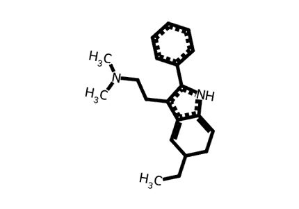 CCC1C=c2c(CCN(C)C)c(-c3ccccc3)[nH]c2=CC1